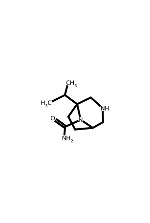 CC(C)C12CCC(CNC1)N2C(N)=O